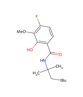 COc1c(F)ccc(C(=O)NC(C)(C)CC(C)(C)C)c1O